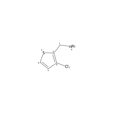 CC[CH]Cc1sccc1Cl